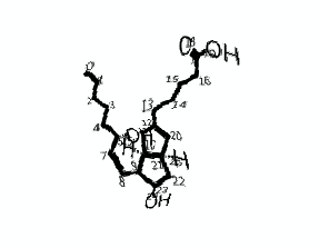 CCCCC[C@H](O)/C=C\[C@H]1[C@H]2CC(CCCCC(=O)O)=C[C@H]2C[C@H]1O